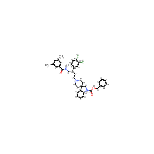 Cc1cc(C)cc(C(=O)N(C)C[C@@H](CCN2CCC3(CC2)CN(C(=O)OCc2ccccc2)c2ccccc23)c2ccc(Cl)c(Cl)c2)c1